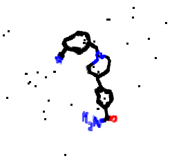 N#Cc1cccc(CN2CCC(c3ccc(C(N)=O)cc3)CC2)c1